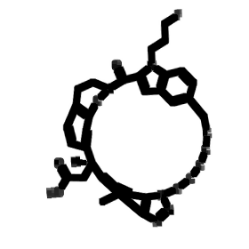 Cc1c2ccc3c1nnn3CCCCCCc1ccc3c(c1)cc(n3CCCF)C(=O)N1CCc3ccc(cc3C1)[C@@H]2CC(=O)O